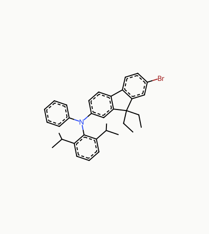 CCC1(CC)c2cc(Br)ccc2-c2ccc(N(c3ccccc3)c3c(C(C)C)cccc3C(C)C)cc21